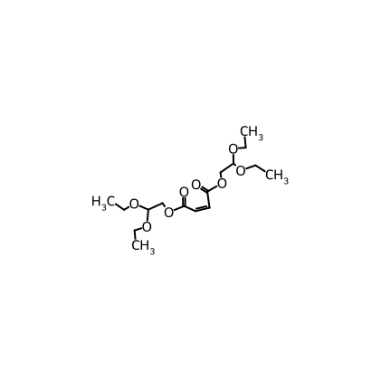 CCOC(COC(=O)/C=C\C(=O)OCC(OCC)OCC)OCC